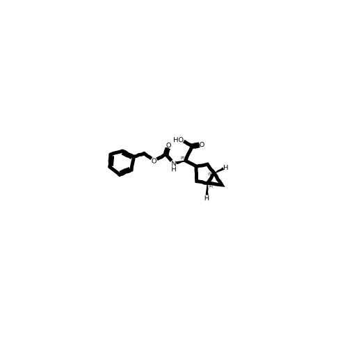 O=C(N[C@@H](C(=O)O)C1C[C@@H]2C[C@@H]2C1)OCc1ccccc1